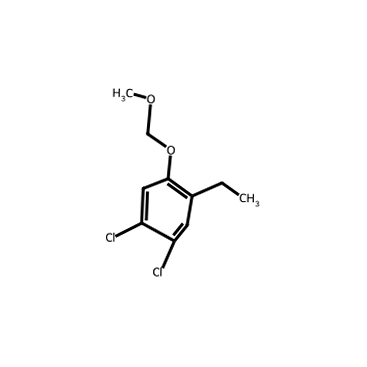 CCc1cc(Cl)c(Cl)cc1OCOC